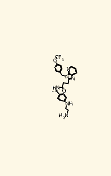 C[C@H](NC(=O)CCc1nc2cccnc2n1Cc1ccc(OC(F)(F)F)cc1)c1ccc(NCCN)cc1